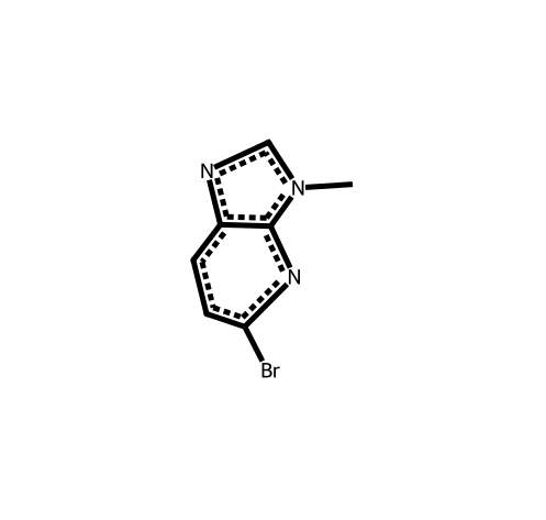 Cn1cnc2ccc(Br)nc21